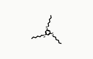 CCCCCCSc1cc(SCCCCCC)cc(SCCCCCC)c1